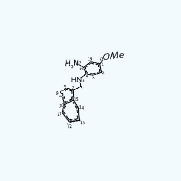 COc1ccc(NCc2csc3ccccc23)c(N)c1